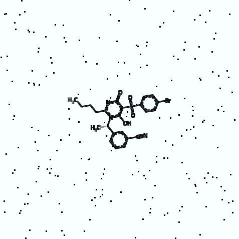 CCCCc1nc(=O)c(S(=O)(=O)c2ccc(Br)cc2)c(O)n1[C@@H](C)c1cccc(C#N)c1